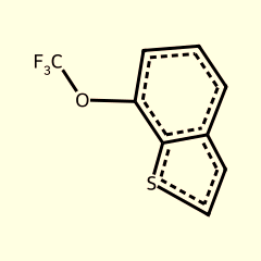 FC(F)(F)Oc1cccc2ccsc12